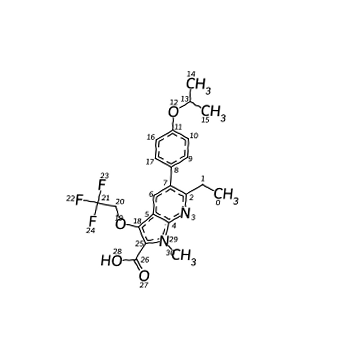 CCc1nc2c(cc1-c1ccc(OC(C)C)cc1)c(OCC(F)(F)F)c(C(=O)O)n2C